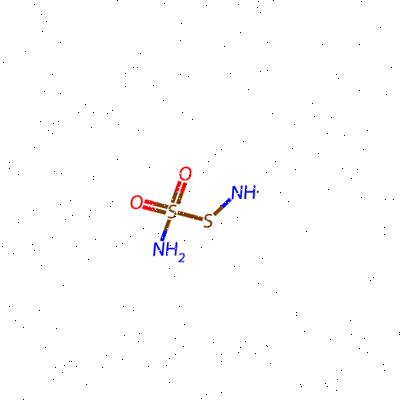 [NH]SS(N)(=O)=O